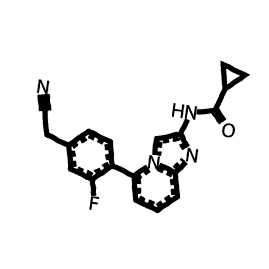 N#CCc1ccc(-c2cccc3nc(NC(=O)C4CC4)cn23)c(F)c1